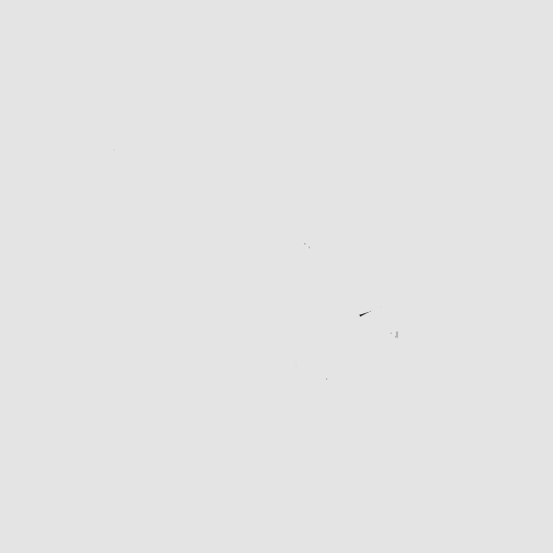 COc1ccc(C=Cc2nc3cc(CC(C)[C@@](C)(O)NC(=O)OC(C)(C)C)ccc3o2)cc1OC